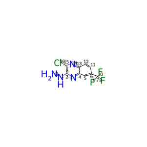 NNc1nc2cc(C(F)(F)F)ccc2nc1Cl